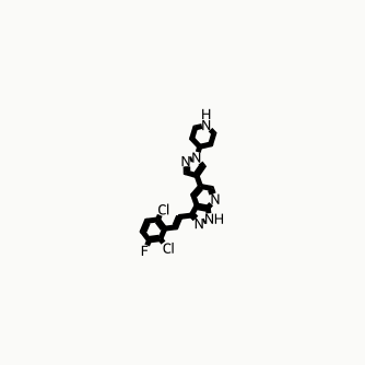 Fc1ccc(Cl)c(C=Cc2n[nH]c3ncc(-c4cnn(C5CCNCC5)c4)cc23)c1Cl